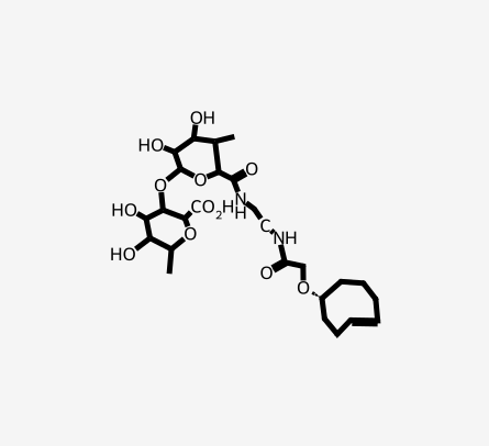 CC1OC(C(=O)O)C(OC2OC(C(=O)NCCNC(=O)CO[C@H]3CC/C=C/CCC3)C(C)C(O)C2O)C(O)C1O